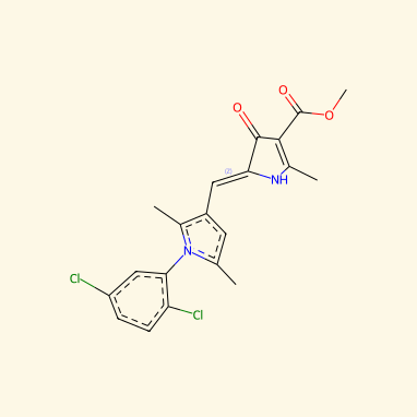 COC(=O)C1=C(C)N/C(=C\c2cc(C)n(-c3cc(Cl)ccc3Cl)c2C)C1=O